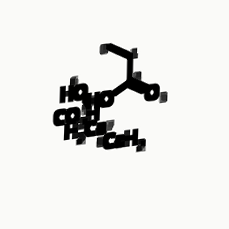 CCC(=O)O.O=C(O)O.[CaH2].[CaH2]